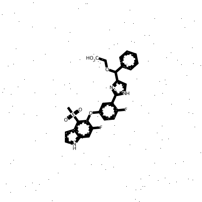 CS(=O)(=O)c1c(Oc2ccc(F)c(-c3nc(C(OCC(=O)O)c4ccccc4)c[nH]3)c2)c(F)cc2[nH]ccc12